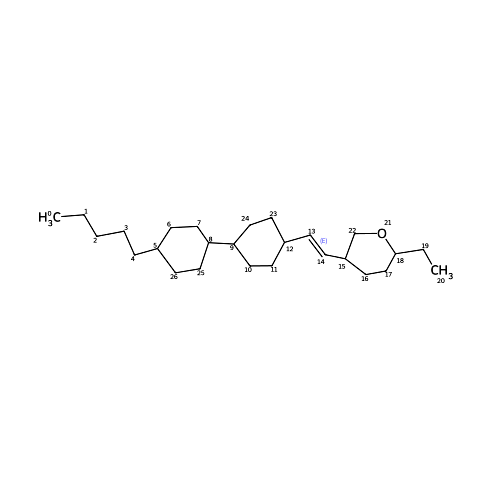 CCCCCC1CCC(C2CCC(/C=C/C3CCC(CC)OC3)CC2)CC1